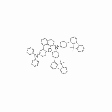 CC1(C)c2ccccc2-c2cccc(-c3ccc(N(c4ccc(-c5cccc6c5C(C)(C)c5ccccc5-6)cc4)c4ccc5cccc6c5c4Oc4ccc(N(c5ccccc5)c5ccccc5)cc4-6)cc3)c21